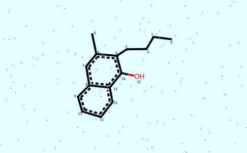 CCCCc1c(C)cc2ccccc2c1O